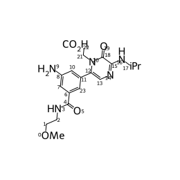 COCCNC(=O)c1cc(N)cc(-c2cnc(NC(C)C)c(=O)n2CC(=O)O)c1